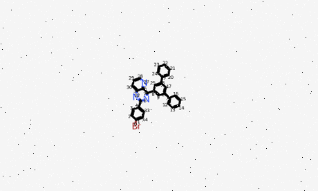 Brc1ccc(-c2nc(-c3cc(-c4ccccc4)cc(-c4ccccc4)c3)c3ncccc3n2)cc1